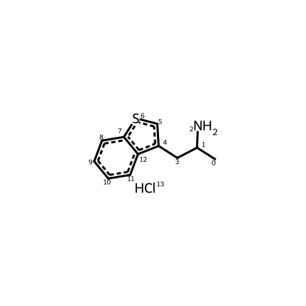 CC(N)Cc1csc2ccccc12.Cl